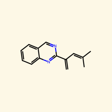 C=C(C=C(C)C)c1ncc2ccccc2n1